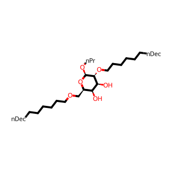 CCCCCCCCCCCCCCCCOC[C@H]1O[C@@H](OCCC)[C@H](OCCCCCCCCCCCCCCCC)[C@@H](O)[C@H]1O